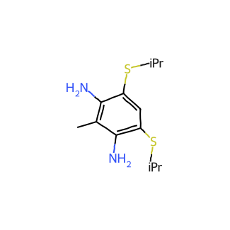 Cc1c(N)c(SC(C)C)cc(SC(C)C)c1N